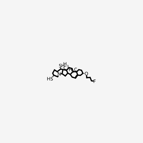 C[C@]12CCC3C(CC=C4C[C@@H](OCCCF)CC[C@@]43C)C1CC1C2[C@H](S)C2CC[C@H](S)CN12